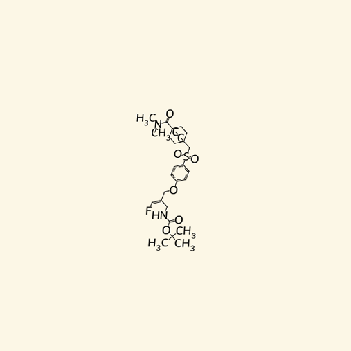 CN(C)C(=O)C12CCC(CS(=O)(=O)c3ccc(OC/C(=C/F)CNC(=O)OC(C)(C)C)cc3)(CC1)CC2